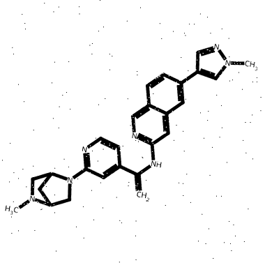 C=C(Nc1cc2cc(-c3cnn(C)c3)ccc2cn1)c1ccnc(N2CC3CC2CN3C)c1